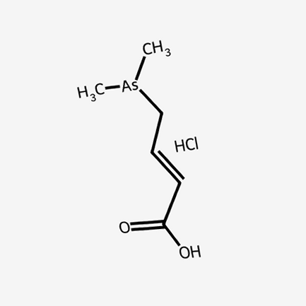 C[As](C)CC=CC(=O)O.Cl